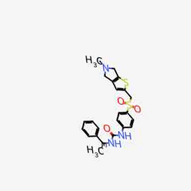 C[C@@H](NC(=O)Nc1ccc(S(=O)(=O)Cc2cc3c(s2)CN(C)C3)cc1)c1ccccc1